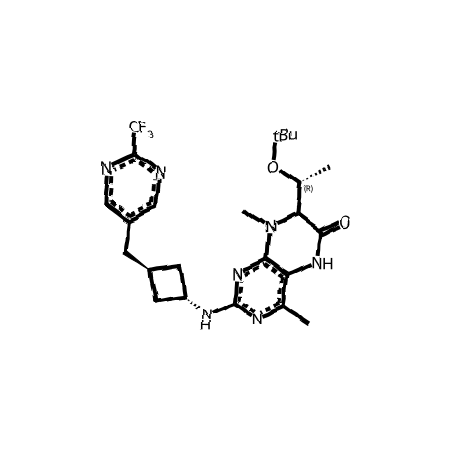 Cc1nc(N[C@H]2C[C@H](Cc3cnc(C(F)(F)F)nc3)C2)nc2c1NC(=O)C([C@@H](C)OC(C)(C)C)N2C